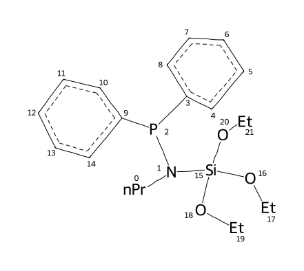 CCCN(P(c1ccccc1)c1ccccc1)[Si](OCC)(OCC)OCC